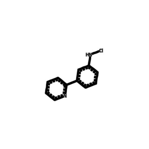 ClNc1cccc(-c2ccccn2)c1